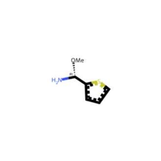 CO[C@@H](N)c1cccs1